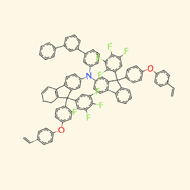 C=Cc1ccc(Oc2ccc(C3(c4cc(F)c(F)c(F)c4F)C4=C(C=CCC4)c4ccc(N(c5cccc(-c6cccc(-c7ccccc7)c6)c5)c5ccc6c(c5)C(c5ccc(Oc7ccc(C=C)cc7)cc5)(c5cc(F)c(F)c(F)c5F)c5ccccc5-6)cc43)cc2)cc1